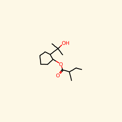 CCC(C)C(=O)OC1CCCCC1C(C)(C)O